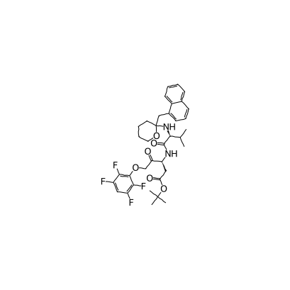 CC(C)[C@H](NC1(Cc2cccc3ccccc23)CCCCO1)C(=O)N[C@@H](CC(=O)OC(C)(C)C)C(=O)COc1c(F)c(F)cc(F)c1F